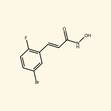 O=C(/C=C/c1cc(Br)ccc1F)NO